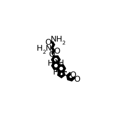 C[C@]12CC[C@H](OC(=O)C(N)CC(N)=O)C[C@H]1CC[C@H]1C3=CC[C@H](c4ccc(=O)oc4)[C@@]3(C)CC[C@@H]12